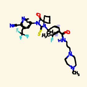 C=C(/C=C\C(C(=O)NCCCN1CCN(C)CC1)=C(/C)F)N1C(=S)N(c2cnc(C#N)c(C(F)(F)F)c2)C(=O)C12CCC2